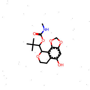 CNC(=O)OC(C1OCCc2c(O)cc3c(c21)OCO3)C(C)(C)C